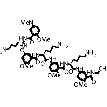 CNc1ccc(OC)c(C(=O)N[C@@H](CCCCN)NOc2ccc(OC)c(C(=O)N[C@@H](CCCCN)C(=O)Nc3ccc(OC)c(C(=O)N[C@@H](CCCCN)C(=O)Nc4ccc(OC)c(C(=O)NCC=O)c4)c3)c2)c1